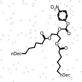 CCCCCCCCCCCCCCCC(=O)OCC(COC(=O)CCCCCCCCCCCCCCC)OC(=O)Oc1ccc([N+](=O)[O-])cc1